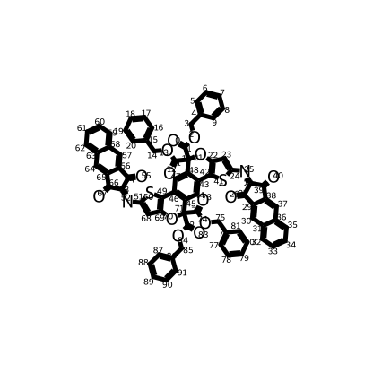 O=C(OCc1ccccc1)C1(C(=O)OCc2ccccc2)Oc2cc(N=c3c(=O)c4cc5ccccc5cc4c3=O)sc2-c2cc3c(cc21)-c1sc(N=c2c(=O)c4cc5ccccc5cc4c2=O)cc1OC3(C(=O)OCc1ccccc1)C(=O)OCc1ccccc1